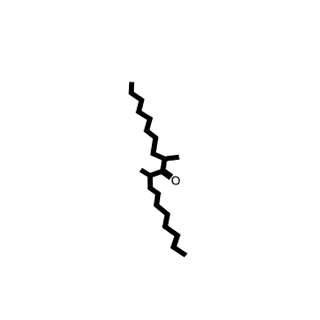 CCCCCCCCC(C)C(=O)C(C)CCCCCCCC